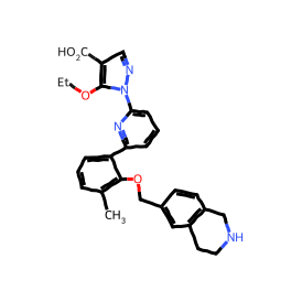 CCOc1c(C(=O)O)cnn1-c1cccc(-c2cccc(C)c2OCc2ccc3c(c2)CCNC3)n1